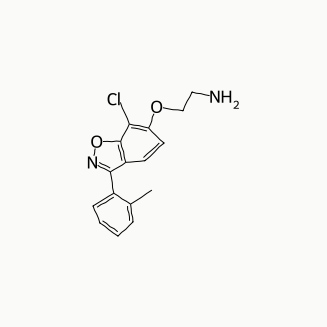 Cc1ccccc1-c1noc2c(Cl)c(OCCN)ccc12